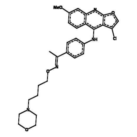 COc1ccc2c(Nc3ccc(/C(C)=N/OCCCCN4CCOCC4)cc3)c3c(Cl)coc3nc2c1